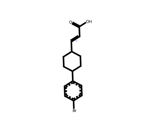 O=C(O)/C=C/C1CCC(c2ccc(Br)cc2)CC1